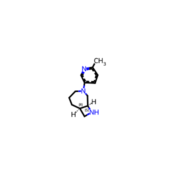 Cc1ccc(N2CCC[C@@H]3CN[C@@H]3C2)cn1